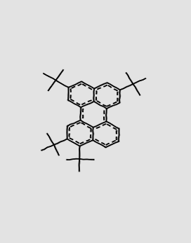 CC(C)(C)c1cc2cc(C(C)(C)C)cc3c4cc(C(C)(C)C)c(C(C)(C)C)c5cccc(c(c1)c23)c54